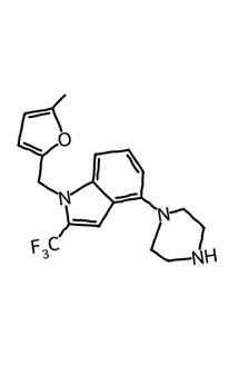 Cc1ccc(Cn2c(C(F)(F)F)cc3c(N4CCNCC4)cccc32)o1